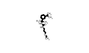 C=COCCCNC(=O)NC(C)(C)c1cccc(C(=C)C)c1